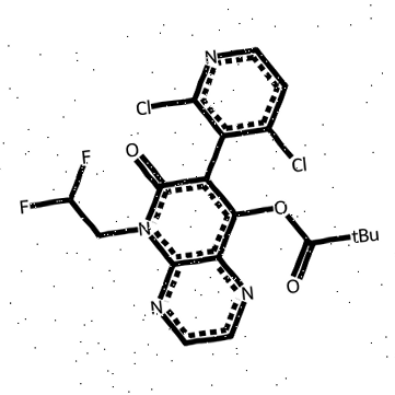 CC(C)(C)C(=O)Oc1c(-c2c(Cl)ccnc2Cl)c(=O)n(CC(F)F)c2nccnc12